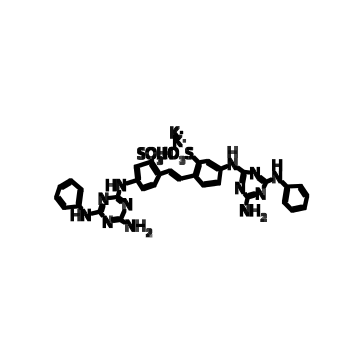 Nc1nc(Nc2ccccc2)nc(Nc2ccc(C=Cc3ccc(Nc4nc(N)nc(Nc5ccccc5)n4)cc3S(=O)(=O)O)c(S(=O)(=O)O)c2)n1.[K].[K]